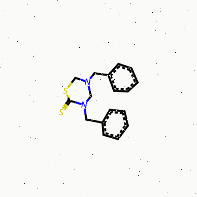 S=C1SCN(Cc2ccccc2)CN1Cc1ccccc1